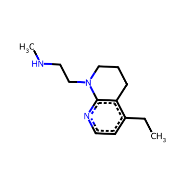 CCc1ccnc2c1CCCN2CCNC